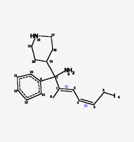 C/C(=C\C=C/CI)C(N)(c1ccccc1)C1CCNCC1